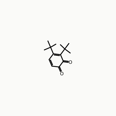 CC(C)(C)C1=C(C(C)(C)C)C(=O)C(=O)C=C1